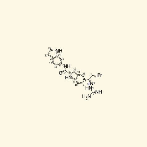 CC(C)C/C(=N/NC(=N)N)c1ccc2[nH]c(C(=O)Nc3ccc4cc[nH]c4c3)cc2c1